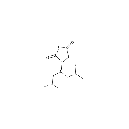 CC(C)CN(CC(C)C)C1CC(=O)OC1=O